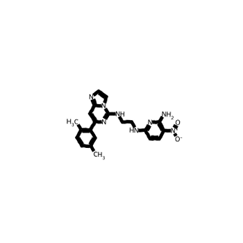 Cc1ccc(C)c(-c2cc3nccn3c(NCCNc3ccc([N+](=O)[O-])c(N)n3)n2)c1